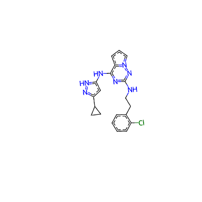 Clc1ccccc1CCNc1nc(Nc2cc(C3CC3)n[nH]2)c2cccn2n1